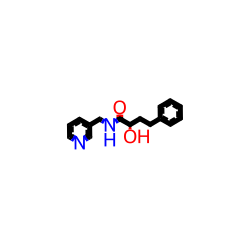 O=C(NCc1cccnc1)[C@H](O)CCc1ccccc1